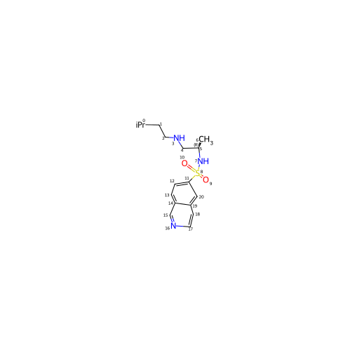 CC(C)CCNC[C@@H](C)NS(=O)(=O)c1ccc2cnccc2c1